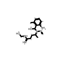 C=NN(C(C)CCC(=N)NCO)C(O)c1c(C)cccc1N